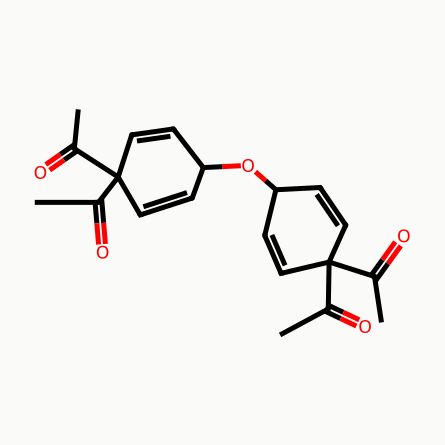 CC(=O)C1(C(C)=O)C=CC(OC2C=CC(C(C)=O)(C(C)=O)C=C2)C=C1